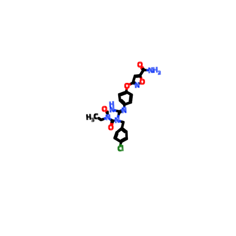 CCn1c(=O)[nH]/c(=N\c2ccc(Oc3cc(C(N)=O)on3)cc2)n(Cc2ccc(Cl)cc2)c1=O